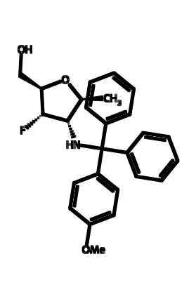 COc1ccc(C(N[C@@H]2[C@H](F)[C@@H](CO)O[C@H]2C)(c2ccccc2)c2ccccc2)cc1